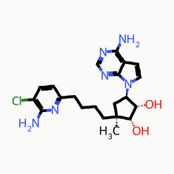 C[C@]1(CCCCc2ccc(Cl)c(N)n2)C[C@@H](n2ccc3c(N)ncnc32)[C@H](O)[C@@H]1O